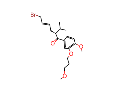 COCCCOc1cc(C(=O)[C@@H](CC=CCBr)C(C)C)ccc1OC